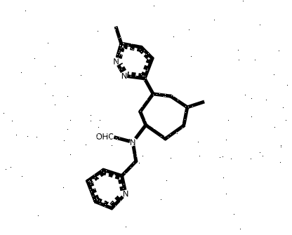 Cc1ccc(C2CC(C)CCC(N(C=O)Cc3ccccn3)C2)nn1